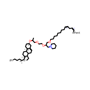 CCCCC/C=C\C/C=C\CCCCCCCCOCC(CN1CCCCC1)OCCOCC(C)O[C@H]1CC[C@@]2(C)C(=CCC3C2CC[C@@]2(C)C3CC[C@@H]2[C@H](C)CCCC(C)C)C1